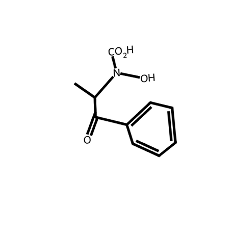 CC(C(=O)c1ccccc1)N(O)C(=O)O